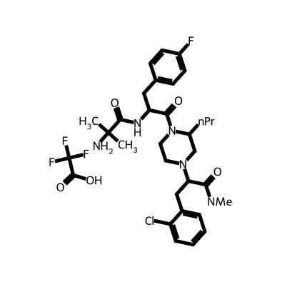 CCCC1CN(C(Cc2ccccc2Cl)C(=O)NC)CCN1C(=O)C(Cc1ccc(F)cc1)NC(=O)C(C)(C)N.O=C(O)C(F)(F)F